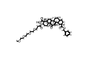 COCCOCCOCCOCCC(=O)O[C@H]1CC[C@@]2(C)[C@@H](CC[C@]3(C)[C@@H]2C(=O)C=C2[C@@H]4C[C@@](C)(C(=O)OCc5ccccc5)CC[C@]4(C)CC[C@]23C)[C@]1(C)C(=O)O